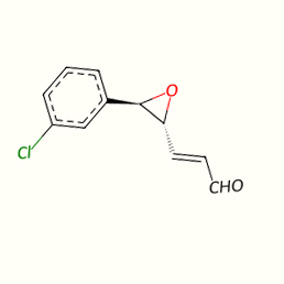 O=C/C=C/[C@H]1O[C@@H]1c1cccc(Cl)c1